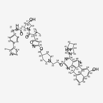 Cc1ncsc1-c1ccc([C@H](C)NC(=O)[C@@H]2C[C@@H](O)CN2C(=O)[C@H](c2cc(OCC3CCN(CCOc4nc(N5CC6CCC(C5)N6)c5cnc6c(c5n4)C(C)c4cccc5cc(O)cc-6c45)CC3)no2)C(C)C)cc1